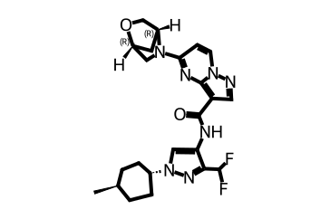 C[C@H]1CC[C@H](n2cc(NC(=O)c3cnn4ccc(N5C[C@H]6C[C@@H]5CO6)nc34)c(C(F)F)n2)CC1